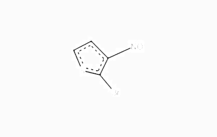 O=Nc1ccsc1Br